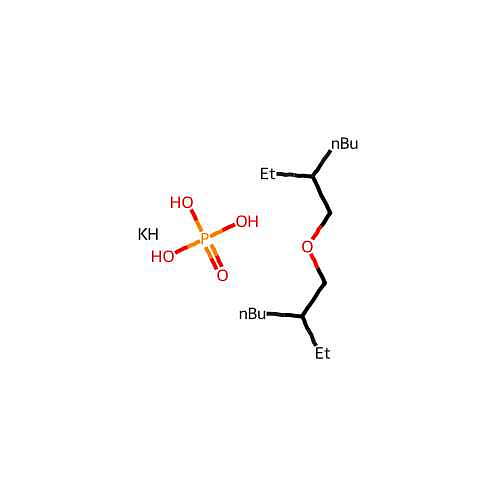 CCCCC(CC)COCC(CC)CCCC.O=P(O)(O)O.[KH]